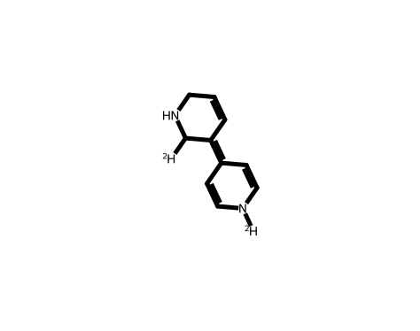 [2H]C1NCC=CC1=C1C=CN([2H])C=C1